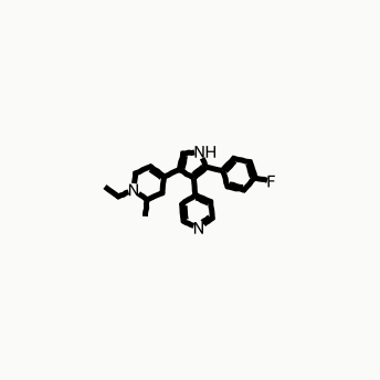 CCN1CC=C(c2c[nH]c(-c3ccc(F)cc3)c2-c2ccncc2)CC1C